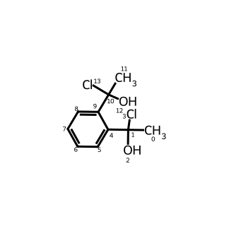 CC(O)(Cl)c1ccccc1C(C)(O)Cl